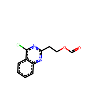 O=COCCc1nc(Cl)c2ccccc2n1